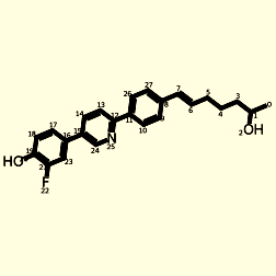 CC(O)CCC/C=C/c1ccc(-c2ccc(-c3ccc(O)c(F)c3)cn2)cc1